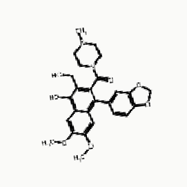 COc1cc2c(O)c(CO)c(C(=O)N3CCN(C)CC3)c(-c3ccc4c(c3)OCO4)c2cc1OC